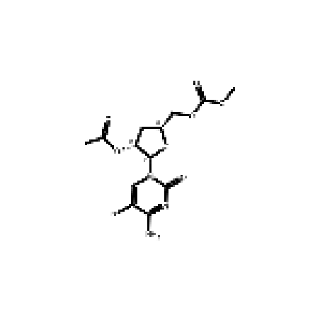 COC(=O)OC[C@@H]1C[C@@H](OC(C)=O)[C@H](n2cc(Br)c(N)nc2=O)O1